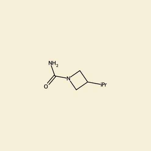 CC(C)C1CN(C(N)=O)C1